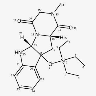 CC[Si](CC)(CC)OC12C[C@H]3C(=O)N(C)CC(=O)N3[C@H]1Nc1ccccc12